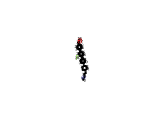 C/C=C/CC[C@H]1CC[C@H](c2ccc(-c3ccc(-c4ccc(COC)cc4)cc3F)cc2)CC1